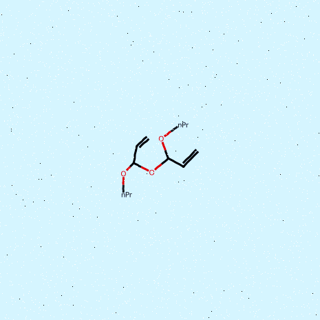 C=CC(OCCC)OC(C=C)OCCC